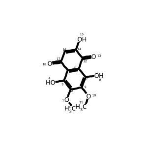 COc1c(O)c2c(c(O)c1OC)C(=O)C(O)=CC2=O